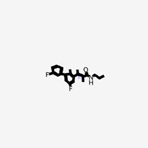 CCCNC(=O)/C(C)=C(\C)c1cc(F)cc(-c2cccc(F)c2)c1C